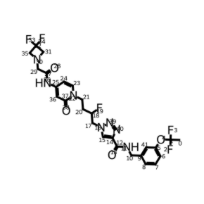 CC(F)(F)Oc1cccc(CNC(=O)c2cn(CC(F)CCn3ccc(NC(=O)CN4CC(F)(F)C4)cc3=O)nn2)c1